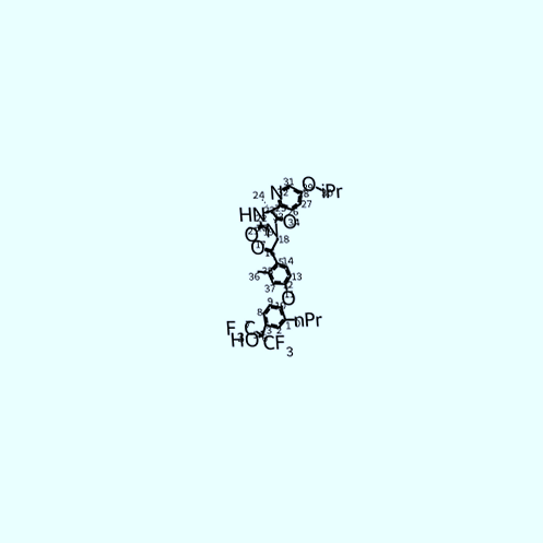 CCCc1cc(C(O)(C(F)(F)F)C(F)(F)F)ccc1Oc1ccc(C(=O)CN2C(=O)N[C@@](C)(c3ccc(OC(C)C)cn3)C2=O)c(C)c1